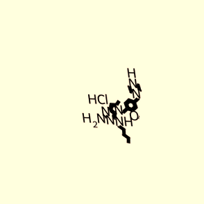 CCCCCNc1nc(N)nc2cc(C)n(Cc3ccc(CN4CCNCC4)cc3OC)c12.Cl